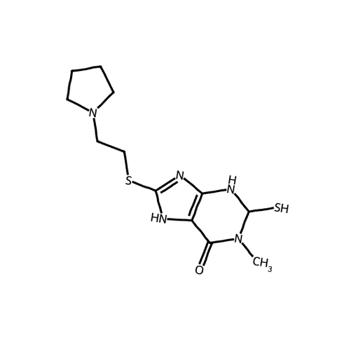 CN1C(=O)c2[nH]c(SCCN3CCCC3)nc2NC1S